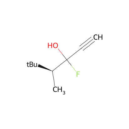 C#CC(O)(F)[C@@H](C)C(C)(C)C